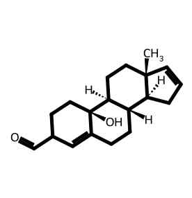 C[C@@]12C=CC[C@H]1[C@@H]1CCC3=CC(C=O)CC[C@]3(O)[C@H]1CC2